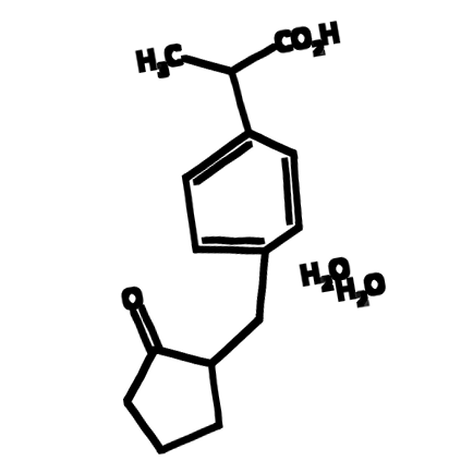 CC(C(=O)O)c1ccc(CC2CCCC2=O)cc1.O.O